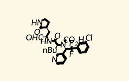 CCCC[C@@H](C(=O)N[C@H](C=O)C[C@@H]1CCNC1=O)N(C(=O)O)[C@@H](c1cccnc1)C(F)(F)c1cccc(Cl)c1